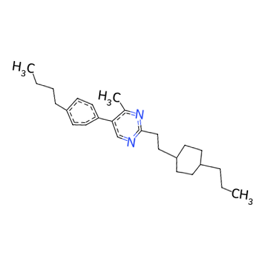 CCCCc1ccc(-c2cnc(CCC3CCC(CCC)CC3)nc2C)cc1